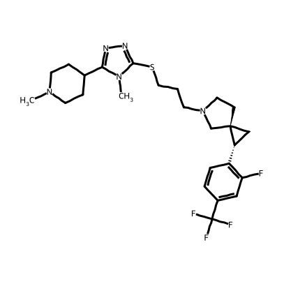 CN1CCC(c2nnc(SCCCN3CC[C@]4(C[C@@H]4c4ccc(C(F)(F)F)cc4F)C3)n2C)CC1